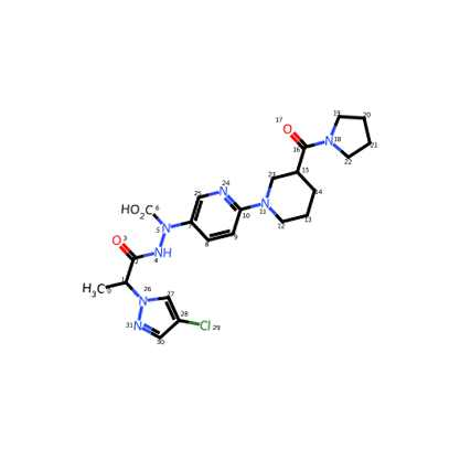 CC(C(=O)NN(C(=O)O)c1ccc(N2CCCC(C(=O)N3CCCC3)C2)nc1)n1cc(Cl)cn1